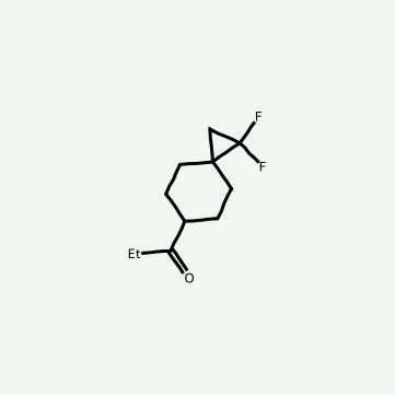 CCC(=O)C1CCC2(CC1)CC2(F)F